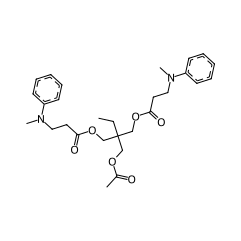 CCC(COC(C)=O)(COC(=O)CCN(C)c1ccccc1)COC(=O)CCN(C)c1ccccc1